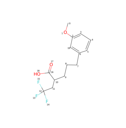 COc1cccc(CCCC(CC(F)(F)F)C(=O)O)c1